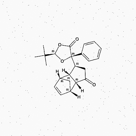 CC(C)(C)[C@H]1OC(=O)[C@](c2ccccc2)([C@H]2CC(=O)[C@H]3[C@@H]2[C@H]2C=C[C@@H]3C2)O1